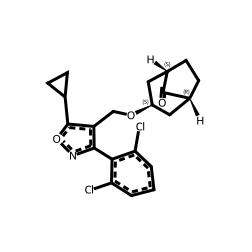 O=C1[C@@H]2CC[C@H]1C[C@H](OCc1c(-c3c(Cl)cccc3Cl)noc1C1CC1)C2